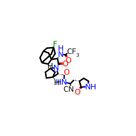 N#C[C@H](C[C@@H]1CCNC1=O)NC(=O)[C@@H]1[C@H]2CC[C@H](C2)N1C(=O)[C@@H](NC(=O)C(F)(F)F)C12CC3CC(CC(F)(C3)C1)C2